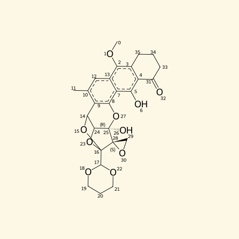 COc1c2c(c(O)c3c4c(c(C)cc13)C1OC3(C5OCCCO5)OC1[C@@](O)(O4)[C@@]31CO1)C(=O)CCC2